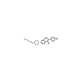 CCCCCC[C@H]1CC[C@H](c2ccc3c(F)c(-c4ccc(F)cc4)ccc3c2)CC1